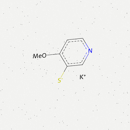 COc1ccncc1[S-].[K+]